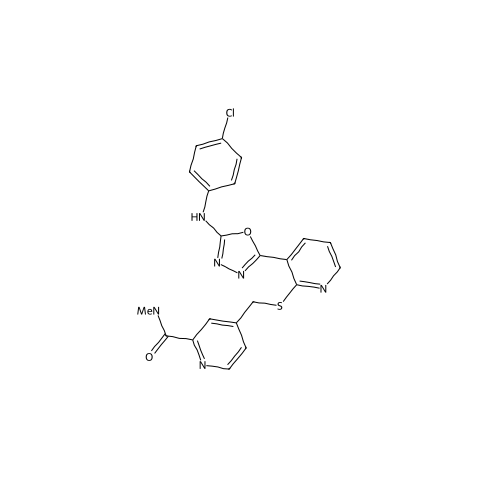 CNC(=O)c1cc(CSc2ncccc2-c2nnc(Nc3ccc(Cl)cc3)o2)ccn1